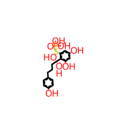 O=P(O)(O)Sc1cc(O)cc(O)c1C(O)(O)CCCc1ccc(O)cc1